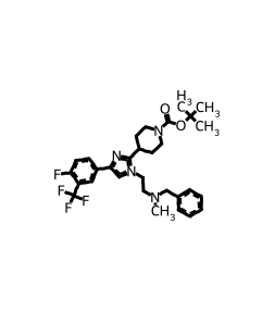 CN(CCn1cc(-c2ccc(F)c(C(F)(F)F)c2)nc1C1CCN(C(=O)OC(C)(C)C)CC1)Cc1ccccc1